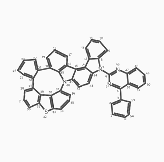 c1ccc(-c2nc(-n3c4ccccc4c4c5c6cccc7c8ccccc8c8cccc9sc%10cccc(c%10c98)n(c5ccc43)c76)nc3ccccc23)cc1